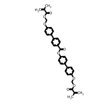 C=C(C)C(=O)OCOc1ccc(-c2ccc(OC(=O)c3ccc(-c4ccc(OCOC(=O)C(=C)C)cc4)cc3)cc2)cc1